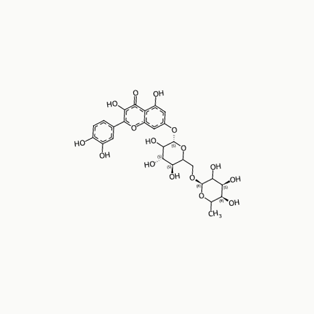 CC1O[C@@H](OCC2O[C@@H](Oc3cc(O)c4c(=O)c(O)c(-c5ccc(O)c(O)c5)oc4c3)C(O)[C@@H](O)[C@@H]2O)C(O)[C@@H](O)[C@H]1O